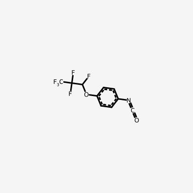 O=C=Nc1ccc(OC(F)C(F)(F)C(F)(F)F)cc1